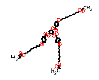 C=CC(=O)OCCCCCCCCCCCOc1ccc(C(=O)Oc2ccc(OC(=O)c3ccc(OCCCCCCCCCCCOC(=O)C=C)cc3)c(OC(=O)c3ccc(OCCCCCCCCCCCOC(=O)C=C)cc3)c2)cc1